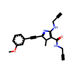 C#CCNC(=O)C1=C(NCC#C)N=C(C#Cc2cccc(OC)c2)C1C